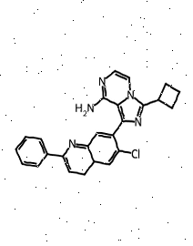 Nc1nccn2c(C3CCC3)nc(C3=CC4=NC(c5ccccc5)=CCC4C=C3Cl)c12